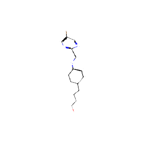 OCCCCC1CCC(NCc2ncc(Br)cn2)CC1